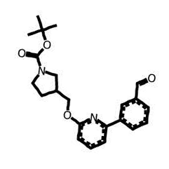 CC(C)(C)OC(=O)N1CCC(COc2cccc(-c3cccc(C=O)c3)n2)C1